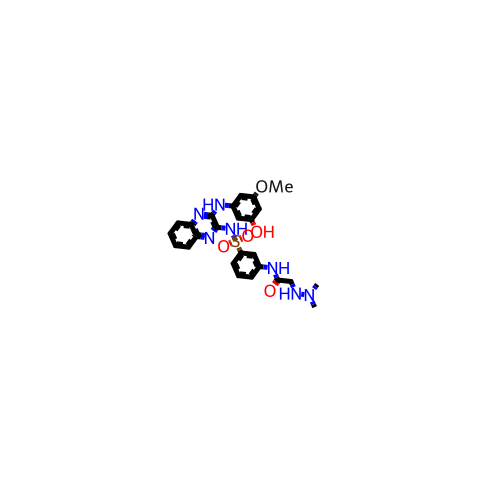 COc1cc(O)cc(Nc2nc3ccccc3nc2NS(=O)(=O)c2cccc(NC(=O)CNN(C)C)c2)c1